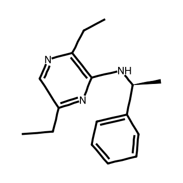 CCc1cnc(CC)c(N[C@@H](C)c2ccccc2)n1